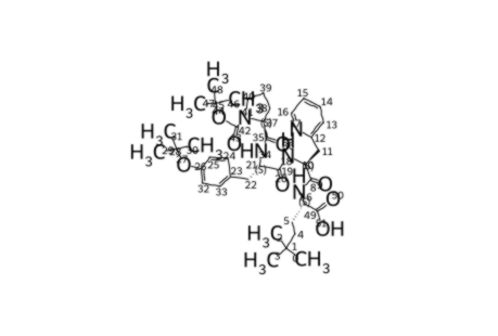 CC(C)(C)CC[C@H](NC(=O)[C@H](Cc1ccccn1)NC(=O)[C@H](Cc1ccc(OC(C)(C)C)cc1)NC(=O)[C@@H]1CCCN1C(=O)OC(C)(C)C)C(=O)O